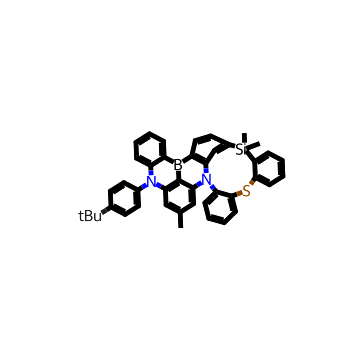 Cc1cc2c3c(c1)N1c4ccccc4Sc4ccccc4[Si](C)(C)c4ccc(c1c4)B3c1ccccc1N2c1ccc(C(C)(C)C)cc1